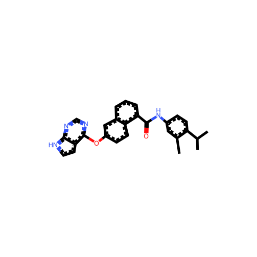 Cc1cc(NC(=O)c2cccc3cc(Oc4ncnc5[nH]ccc45)ccc23)ccc1C(C)C